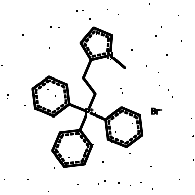 Cn1cccc1CC[P+](c1ccccc1)(c1ccccc1)c1ccccc1.[Br-]